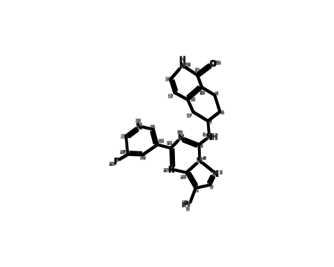 CC(C)c1cnn2c(NC3CCc4c(cc[nH]c4=O)C3)nc(-c3cncc(F)c3)nc12